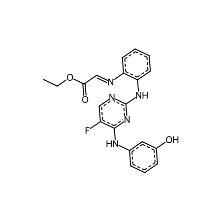 CCOC(=O)C=Nc1ccccc1Nc1ncc(F)c(Nc2cccc(O)c2)n1